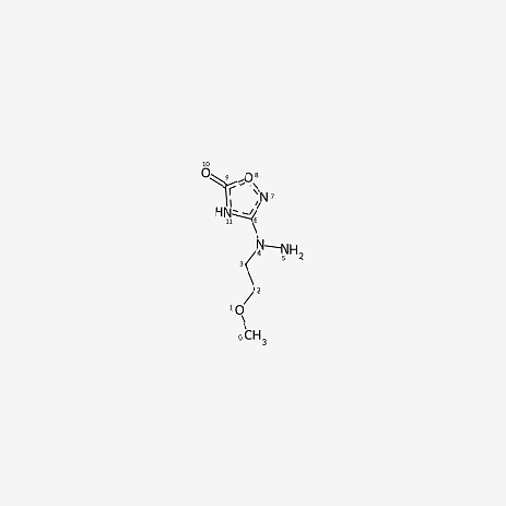 COCCN(N)c1noc(=O)[nH]1